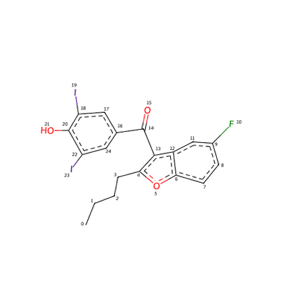 CCCCc1oc2ccc(F)cc2c1C(=O)c1cc(I)c(O)c(I)c1